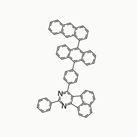 c1ccc(-c2nc(-c3ccc(-c4c5ccccc5c(-c5cccc6cc7ccccc7cc56)c5ccccc45)cc3)c3c(n2)-c2cccc4cccc-3c24)cc1